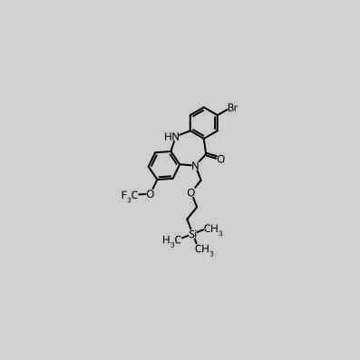 C[Si](C)(C)CCOCN1C(=O)c2cc(Br)ccc2Nc2ccc(OC(F)(F)F)cc21